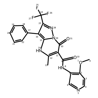 COc1ccncc1NC(=O)c1c(C)[nH]c2c(-c3ccccc3)c(C(F)(F)F)nn2c1=O